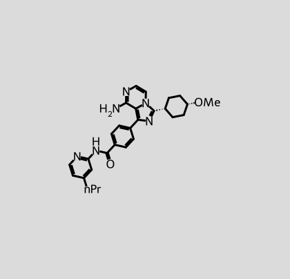 CCCc1ccnc(NC(=O)c2ccc(-c3nc([C@H]4CC[C@@H](OC)CC4)n4ccnc(N)c34)cc2)c1